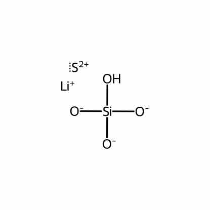 [Li+].[O-][Si]([O-])([O-])O.[S+2]